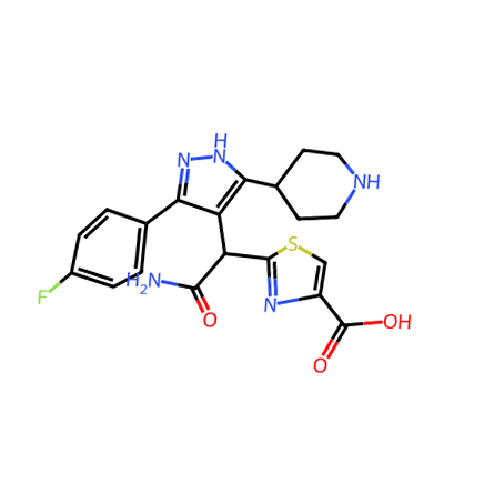 NC(=O)C(c1nc(C(=O)O)cs1)c1c(-c2ccc(F)cc2)n[nH]c1C1CCNCC1